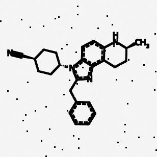 C[C@H]1CCc2c(ccc3c2nc(Cc2ccccc2)n3[C@H]2CC[C@H](C#N)CC2)N1